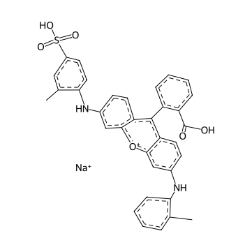 Cc1ccccc1Nc1ccc2c(-c3ccccc3C(=O)O)c3ccc(Nc4ccc(S(=O)(=O)O)cc4C)cc3[o+]c2c1.[Na+]